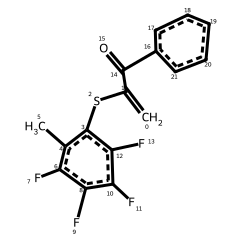 C=C(Sc1c(C)c(F)c(F)c(F)c1F)C(=O)c1ccccc1